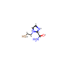 NC(=O)c1nccn1CCS